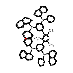 Cc1nc(C)c(-c2cc(N(c3ccccc3)c3cccc4ccccc34)cc(N(c3ccccc3)c3cccc4ccccc34)c2)c(C)c1-c1cc(N(c2ccccc2)c2cccc3ccccc23)cc(N(c2ccccc2)c2cccc3ccccc23)c1